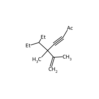 C=C(C)C(C)(C#CC(C)=O)C(CC)CC